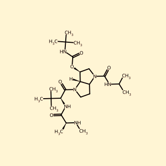 CN[C@@H](C)C(=O)N[C@H](C(=O)N1CCC2[C@H]1[C@@H](OC(=O)NC(C)(C)C)CN2C(=O)NC(C)C)C(C)(C)C